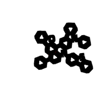 c1ccc(-c2ccc(N(c3ccc4c(c3)sc3ccccc34)c3cc4c(cc3-c3cccc5c3oc3ccccc35)c3ccccc3n4-c3ccccc3)cc2)cc1